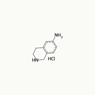 Cl.Nc1ccc2c(c1)CCNC2